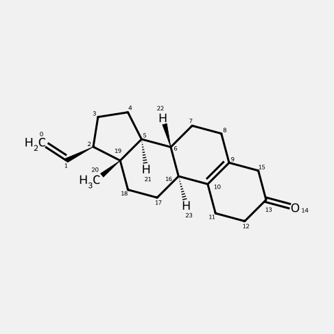 C=C[C@H]1CC[C@H]2[C@@H]3CCC4=C(CCC(=O)C4)[C@H]3CC[C@]12C